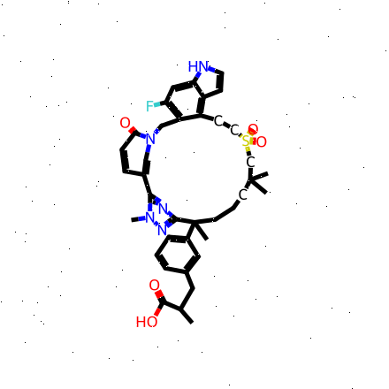 CC(Cc1cccc(C2(C)CCCC(C)(C)CS(=O)(=O)CCc3c(c(F)cc4[nH]ccc34)Cn3cc(ccc3=O)-c3nc2nn3C)c1)C(=O)O